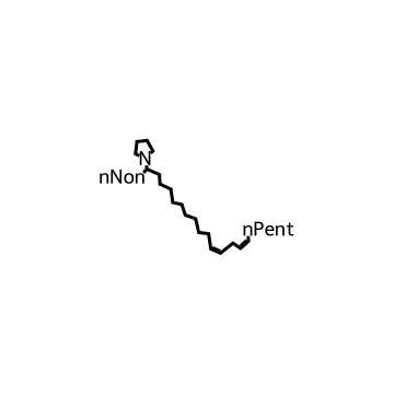 CCCCC/C=C\C/C=C\CCCCCCCCCC(CCCCCCCCC)N1CCCC1